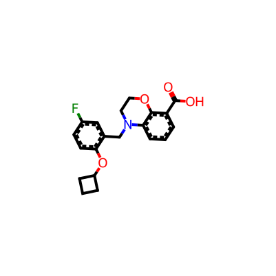 O=C(O)c1cccc2c1OCCN2Cc1cc(F)ccc1OC1CCC1